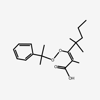 CCCC(C)(C)C(OOC(C)(C)c1ccccc1)=C(C)C(=O)O